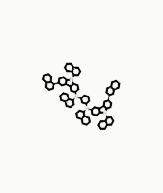 c1cc(N(c2ccc3c(c2)c2cc(-c4ccc5ccccc5c4)ccc2n3-c2cccc3ccccc23)c2cccc3ccccc23)cc(N(c2ccc3c(c2)c2cc(-c4cccc5ccccc45)ccc2n3-c2cccc3ccccc23)c2cccc3ccccc23)c1